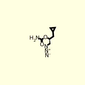 [N-]=[N+]=NC[C@H](CC1CC1)OC(N)=O